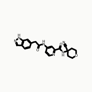 N#CC1(NC(=O)c2cc(NC(=O)Cc3ccc4cn[nH]c4c3)ccn2)CCOCC1